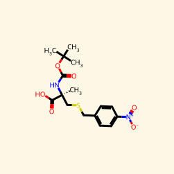 CC(C)(C)OC(=O)N[C@@](C)(CSCc1ccc([N+](=O)[O-])cc1)C(=O)O